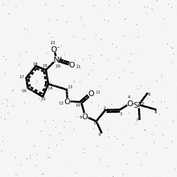 CC(C=CO[Si](C)(C)C)OC(=O)OCc1ccccc1[N+](=O)[O-]